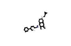 C[C@H]1OC(=O)[C@@H]2C[C@@H]3C[C@H](NC(=O)C4CC4)CC[C@H]3[C@H](/C=C/c3ccc(-c4cccc(F)c4)cn3)[C@H]12